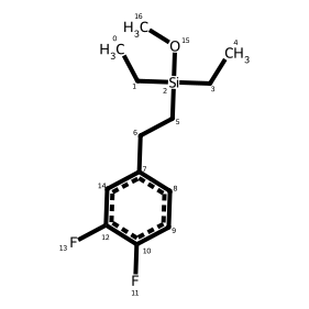 CC[Si](CC)(CCc1ccc(F)c(F)c1)OC